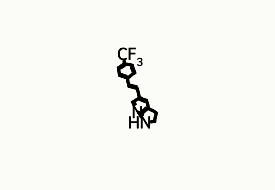 FC(F)(F)c1ccc(/C=C/c2cnc3c(c2)CCN3)cc1